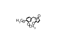 COc1ccc(CN2C(=O)C=CC2=O)cc1OC